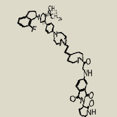 CN(C)[C@H]1CN(C2CCc3cccc(F)c32)C[C@@H]1c1ccc(N2CCN(CCC3CCN(C(=O)CNc4ccc5c(c4)C(=O)N(C4CCC(=O)NC4=O)C5=O)CC3)CC2)cc1